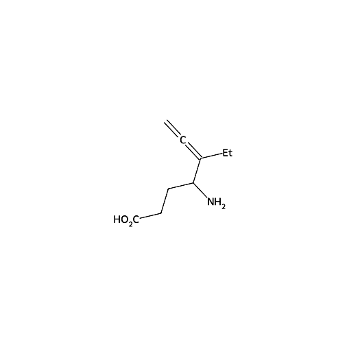 C=C=C(CC)C(N)CCC(=O)O